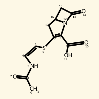 CC(=O)N/C=C\SC1=C(C(=O)O)N2C(=O)CC2C1